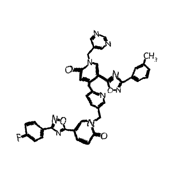 Cc1cccc(-c2noc(-c3cn(Cc4cncnc4)c(=O)cc3-c3ccc(Cn4cc(-c5nc(-c6ccc(F)cc6)no5)ccc4=O)cn3)n2)c1